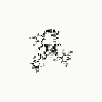 O=C(OC12CC3(OC(=O)c4cc(I)cc(I)c4I)CC(OC(=O)c4c(I)ccc(I)c4I)(C1)CC(C(=O)OCC(F)(F)S(=O)(=O)O)(C2)C3)c1cc(I)cc(I)c1I